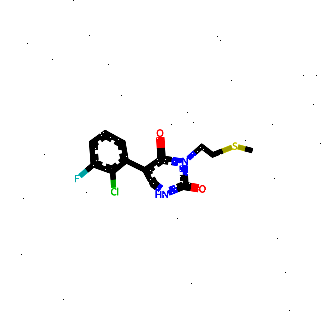 CSCCn1c(=O)[nH]cc(-c2cccc(F)c2Cl)c1=O